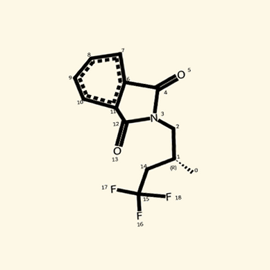 C[C@@H](CN1C(=O)c2ccccc2C1=O)CC(F)(F)F